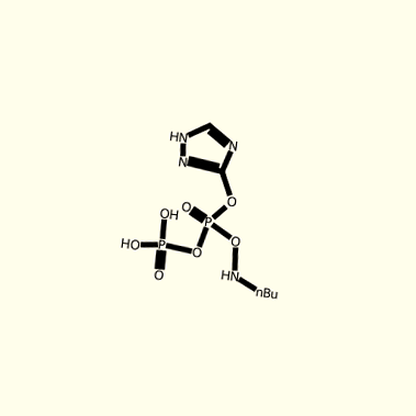 CCCCNOP(=O)(Oc1nc[nH]n1)OP(=O)(O)O